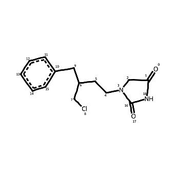 O=C1CN(CCC(CCl)Cc2ccccc2)C(=O)N1